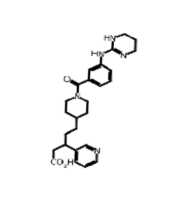 O=C(O)CC(CCC1CCN(C(=O)c2cccc(NC3=NCCCN3)c2)CC1)c1cccnc1